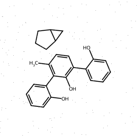 C1CC2CC2C1.Cc1ccc(-c2ccccc2O)c(O)c1-c1ccccc1O